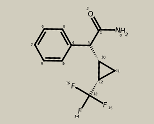 NC(=O)C(c1ccccc1)[C@@H]1C[C@@H]1C(F)(F)F